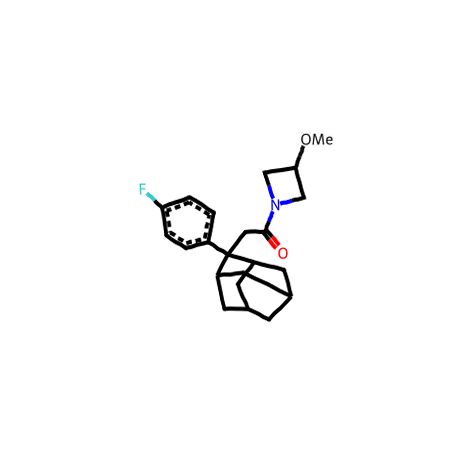 COC1CN(C(=O)CC2(c3ccc(F)cc3)C3CC4CC(C3)CC2C4)C1